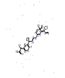 C=C/C(Cl)=C(\C=C(/C)C/C=C/C(=O)C1=CCC=C(C(C)C(=C)C)S1)C(C)(F)F